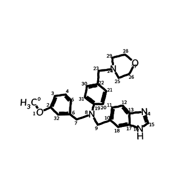 COc1cccc(CN(Cc2ccc3nc[nH]c3c2)c2ccc(CN3CCOCC3)cc2)c1